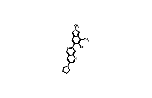 Cc1c(O)c(-c2ncc3cc(N4CCCC4)cnc3n2)cc2cn(C)nc12